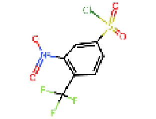 O=[N+]([O-])c1cc(S(=O)(=O)Cl)ccc1C(F)(F)F